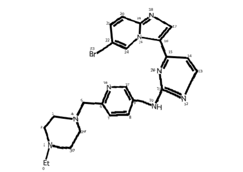 CCN1CCN(Cc2ccc(Nc3nccc(-c4cnc5ccc(Br)cn45)n3)cn2)CC1